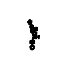 C[Si](C)(C)CCOCn1ccc2cc(NCc3ccc(C4CCCCC4)cc3)ccc2c1=O